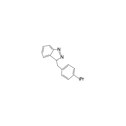 CC(C)c1ccc(C[C]2N=Nc3ccccc32)cc1